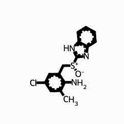 Cc1cc(Cl)cc(C[S+]([O-])c2nc3ccccc3[nH]2)c1N